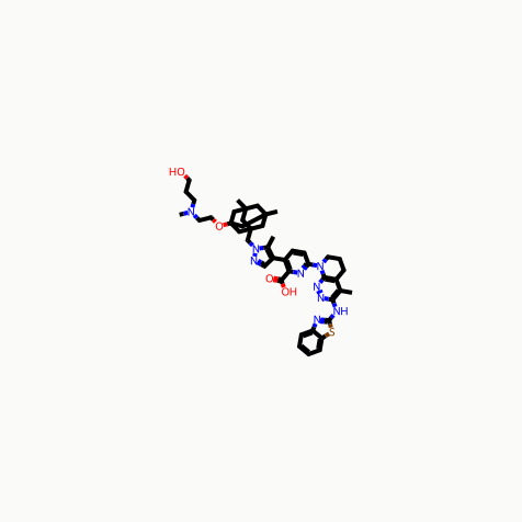 Cc1c(Nc2nc3ccccc3s2)nnc2c1CCCN2c1ccc(-c2cnn(CC34CC5(C)CC(C)(C3)CC(OCCN(C)CCCO)(C5)C4)c2C)c(C(=O)O)n1